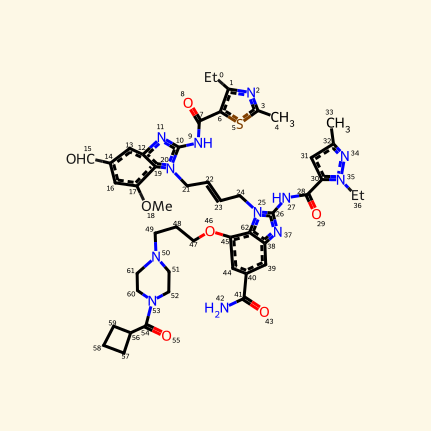 CCc1nc(C)sc1C(=O)Nc1nc2cc(C=O)cc(OC)c2n1C/C=C/Cn1c(NC(=O)c2cc(C)nn2CC)nc2cc(C(N)=O)cc(OCCCN3CCN(C(=O)C4CCC4)CC3)c21